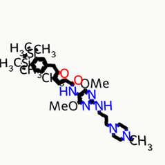 COc1nc(NCCCN2CCN(C)CC2)nc(OC)c1NC(=O)c1ccc(Cc2cc3c(cc2C)[Si](C)(C)C[Si]3(C)C)o1